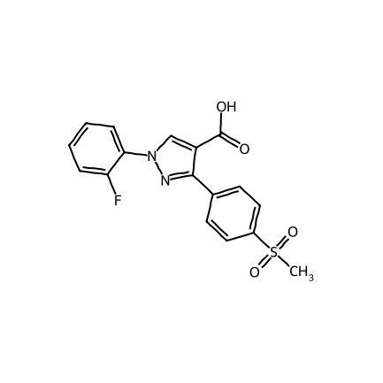 CS(=O)(=O)c1ccc(-c2nn(-c3ccccc3F)cc2C(=O)O)cc1